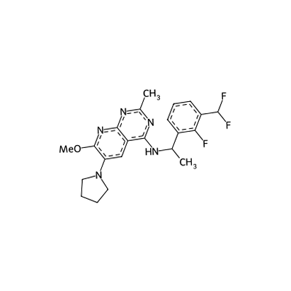 COc1nc2nc(C)nc(NC(C)c3cccc(C(F)F)c3F)c2cc1N1CCCC1